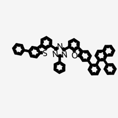 c1ccc(-c2ccc3sc4c(-c5nc(-c6ccccc6)nc(-c6cccc7c6oc6cc(-c8ccccc8-c8ccc9ccccc9c8-c8ccccc8)ccc67)n5)cccc4c3c2)cc1